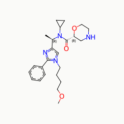 COCCCCn1cc([C@@H](C)N(C(=O)[C@H]2CNCCO2)C2CC2)nc1-c1ccccc1